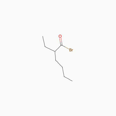 CCCCC(CC)C(=O)Br